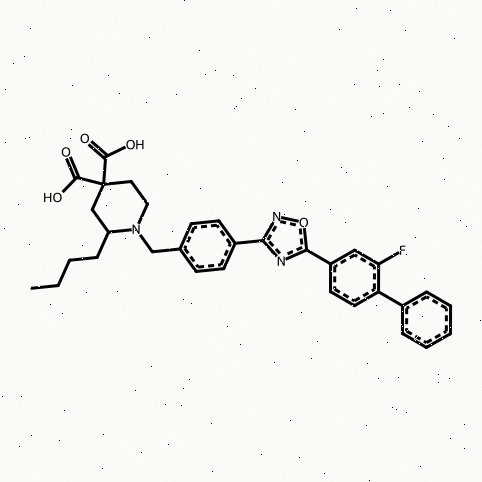 CCCCC1CC(C(=O)O)(C(=O)O)CCN1Cc1ccc(-c2noc(-c3ccc(-c4ccccc4)c(F)c3)n2)cc1